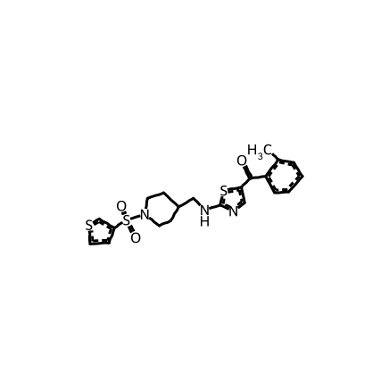 Cc1ccccc1C(=O)c1cnc(NCC2CCN(S(=O)(=O)c3ccsc3)CC2)s1